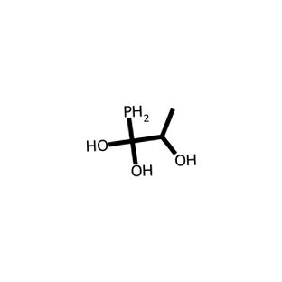 CC(O)C(O)(O)P